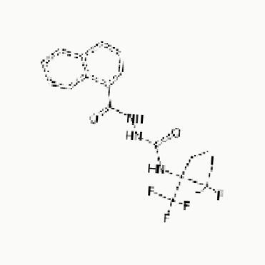 CCC(NC(=O)NNC(=O)c1cccc2ccccc12)(C(F)(F)F)C(F)(F)F